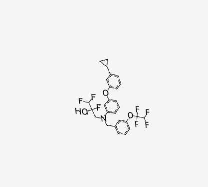 OC(F)(CN(Cc1cccc(OC(F)(F)C(F)F)c1)c1cccc(Oc2cccc(C3CC3)c2)c1)C(F)F